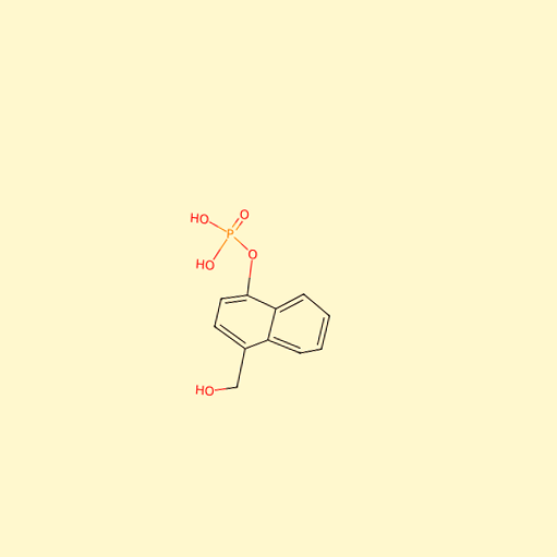 O=P(O)(O)Oc1ccc(CO)c2ccccc12